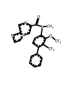 CN(C(=O)c1cn2ccnc2cn1)c1ccc(-c2ccccc2)c(C(F)(F)F)c1OC(F)(F)F